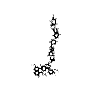 CCc1c(F)ccc2cc(O)cc(-c3ncc4c(N5CCC[C@@](C)(O)C5)nc(OCC5(CN6CCC7(CC6)CC(F)(CN6CCN(c8ccc9c(c8)CN([C@H]8CCC(=O)NC8=O)C9)CC6)C7)CC5)nc4c3F)c12